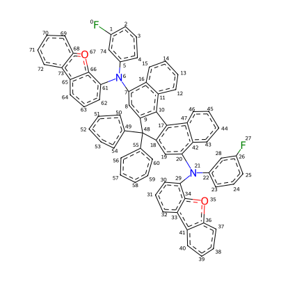 Fc1cccc(N(c2cc3c(c4ccccc24)-c2c(cc(N(c4cccc(F)c4)c4cccc5c4oc4ccccc45)c4ccccc24)C3(c2ccccc2)c2ccccc2)c2cccc3c2oc2ccccc23)c1